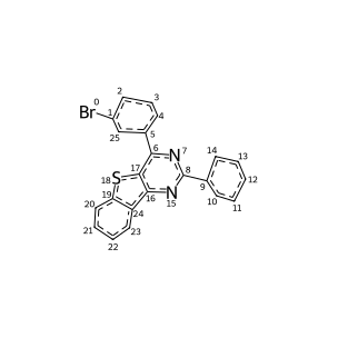 Brc1cccc(-c2nc(-c3ccccc3)nc3c2sc2ccccc23)c1